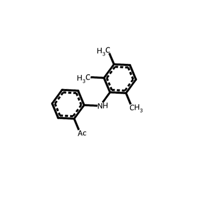 CC(=O)c1ccccc1Nc1c(C)ccc(C)c1C